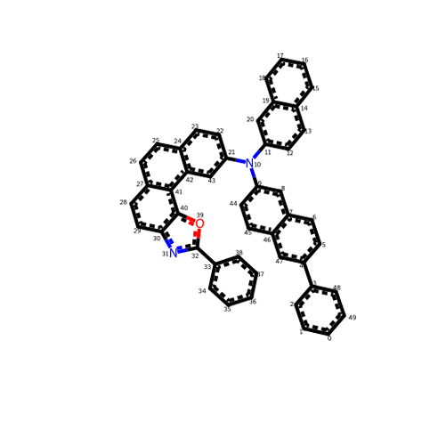 c1ccc(-c2ccc3cc(N(c4ccc5ccccc5c4)c4ccc5ccc6ccc7nc(-c8ccccc8)oc7c6c5c4)ccc3c2)cc1